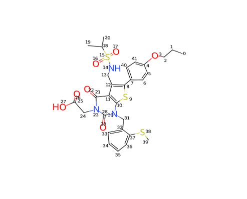 CCCOc1ccc(-c2sc3c(c2CNS(=O)(=O)C(C)C)c(=O)n(CC(=O)O)c(=O)n3Cc2ccccc2SC)cc1